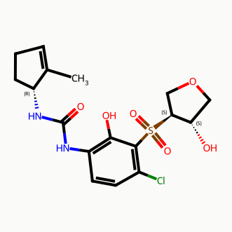 CC1=CCC[C@H]1NC(=O)Nc1ccc(Cl)c(S(=O)(=O)[C@H]2COC[C@@H]2O)c1O